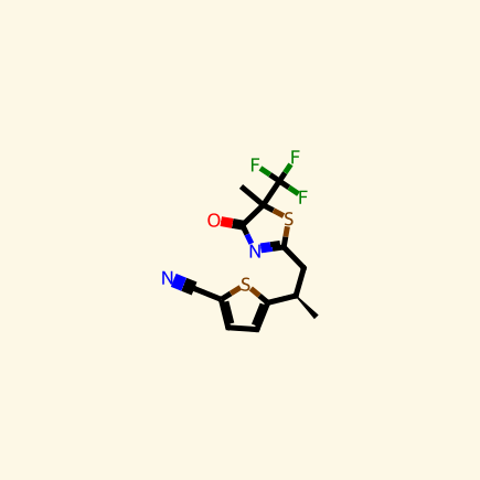 C[C@H](CC1=NC(=O)C(C)(C(F)(F)F)S1)c1ccc(C#N)s1